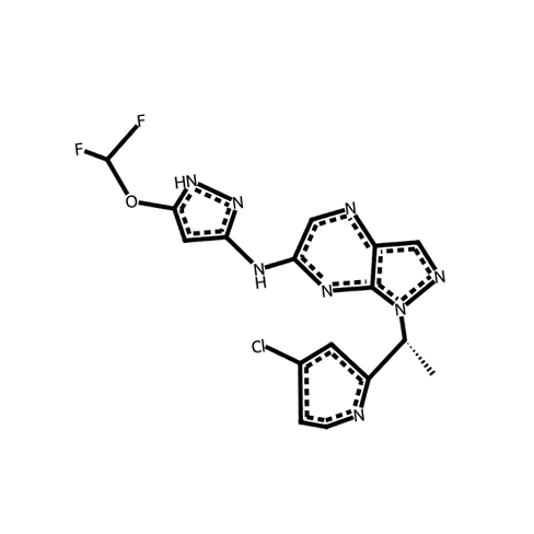 C[C@H](c1cc(Cl)ccn1)n1ncc2ncc(Nc3cc(OC(F)F)[nH]n3)nc21